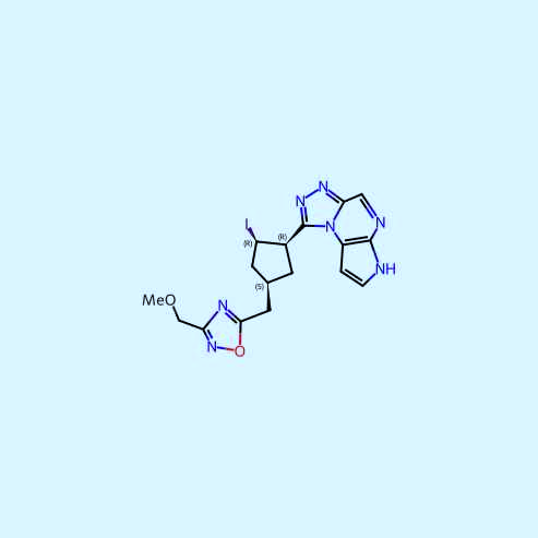 COCc1noc(C[C@H]2C[C@@H](I)[C@@H](c3nnc4cnc5[nH]ccc5n34)C2)n1